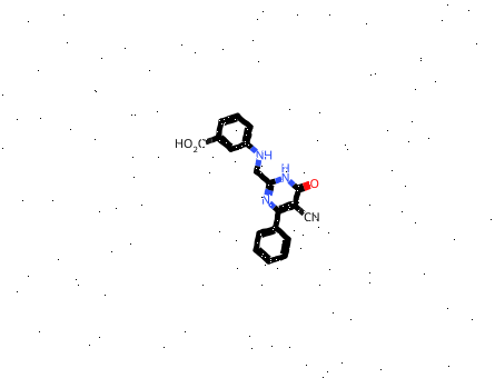 N#Cc1c(-c2ccccc2)nc(CNc2cccc(C(=O)O)c2)[nH]c1=O